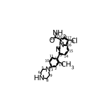 Cc1cc(N2CCNCC2)ccc1-c1ccc2c(Cl)cc(C(N)=O)n2n1